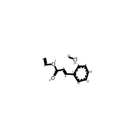 C=COC(=O)C=Cc1ccccc1.CCl